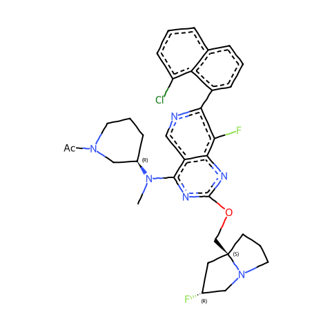 CC(=O)N1CCC[C@@H](N(C)c2nc(OC[C@@]34CCCN3C[C@H](F)C4)nc3c(F)c(-c4cccc5cccc(Cl)c45)ncc23)C1